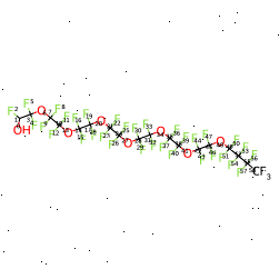 OC(F)C(F)(F)OC(F)(F)C(F)(F)OC(F)(F)C(F)(F)OC(F)(F)C(F)(F)OC(F)(F)C(F)(F)OC(F)(F)C(F)(F)OC(F)(F)C(F)(F)OC(F)(F)C(F)(F)C(F)(F)C(F)(F)F